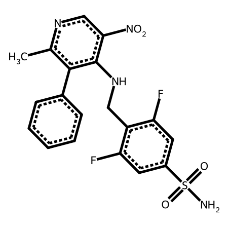 Cc1ncc([N+](=O)[O-])c(NCc2c(F)cc(S(N)(=O)=O)cc2F)c1-c1ccccc1